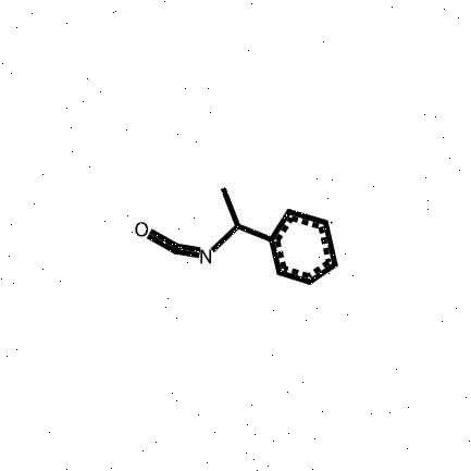 CC(N=C=O)c1c[c]ccc1